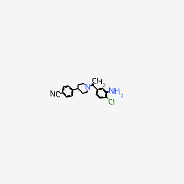 C=C(c1ccc(Cl)c(N)c1)N1CCC(c2ccc(C#N)cc2)CC1